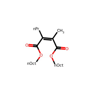 CCCCCCCCOC(=O)C(C)=C(CCC)C(=O)OCCCCCCCC